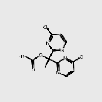 CCCC(=O)OC(C)(c1nccc(Cl)n1)c1nccc(Cl)n1